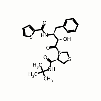 CC(C)(C)NC(=O)[C@@H]1CSCN1C(=O)[C@@H](O)[C@H](Cc1ccccc1)NC(=O)c1cccs1